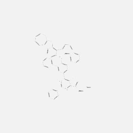 C=C/C=C\c1coc2c(-c3cc(-c4ccccc4)c(-n4c5ccccc5c5c6sc7c(c6ccc54)C=CC=CC7)c(-c4ccccc4)c3)nc(-c3ccccc3)nc12